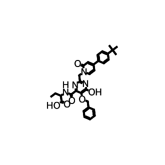 CCC(NC(=O)c1nc(Cn2ccc(-c3ccc(C(C)(C)C)cc3)cc2=O)nc(O)c1OCc1ccccc1)C(=O)O